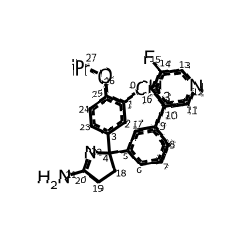 Cc1cc(C2(c3cccc(-c4cncc(F)c4)c3)CCC(N)=N2)ccc1OC(C)C